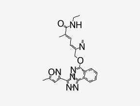 C=N/C(=C\C=C(/C)C(=O)NCC)COc1nn2c(-c3cc(C)on3)nnc2c2ccccc12